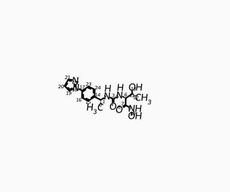 C[C@@H](NC(=O)N[C@H](C(=O)NO)[C@@H](C)O)c1ccc(-n2cccn2)cc1